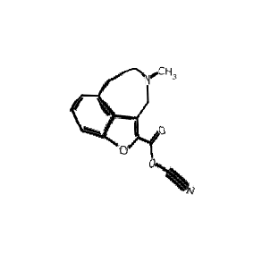 CN1CCc2cccc3oc(C(=O)OC#N)c(c23)C1